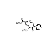 CC(C)(C)OC(=O)NCCC(C(=O)O)C(=O)N(CCC#N)c1ccccc1